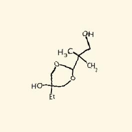 CCC1(O)COC(C(C)(C)CO)OC1